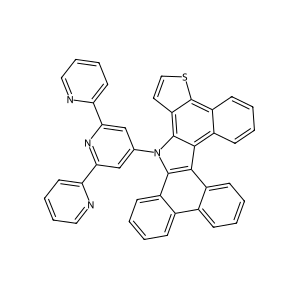 c1ccc(-c2cc(-n3c4c5ccccc5c5ccccc5c4c4c5ccccc5c5sccc5c43)cc(-c3ccccn3)n2)nc1